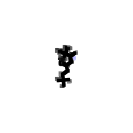 [2H]C([2H])([2H])/C(C)=C\C(=O)CCC(C)(C)C